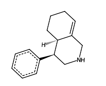 C1=C2CNC[C@@H](c3ccccc3)[C@H]2CCC1